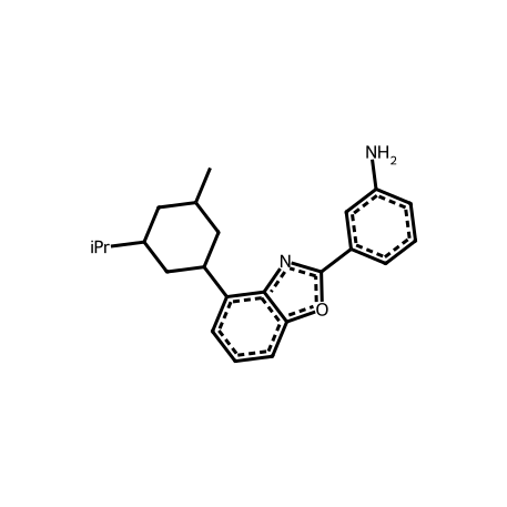 CC1CC(c2cccc3oc(-c4cccc(N)c4)nc23)CC(C(C)C)C1